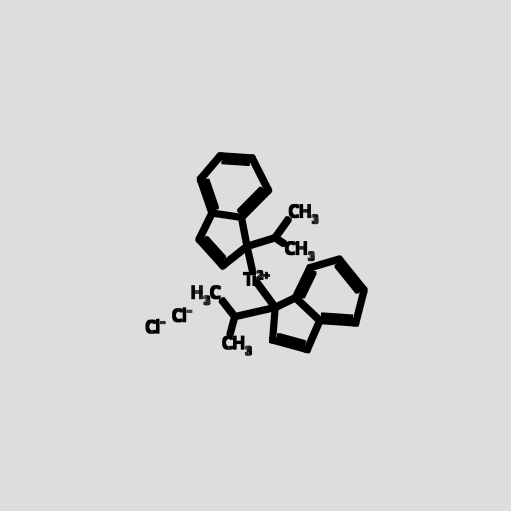 CC(C)[C]1([Ti+2][C]2(C(C)C)C=Cc3ccccc32)C=Cc2ccccc21.[Cl-].[Cl-]